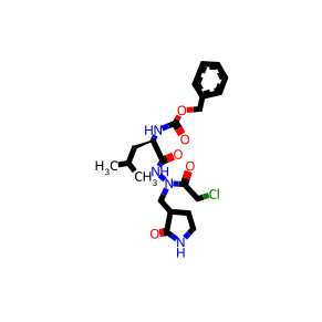 CC(C)C[C@@H](NC(=O)OCc1ccccc1)C(=O)NN(CC1CCNC1=O)C(=O)CCl